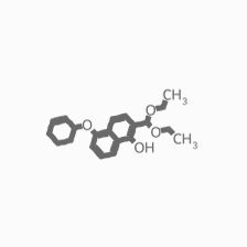 CCOC(OCC)c1ccc2c(OC3C=CCCC3)cccc2c1O